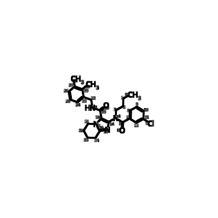 CCCCN(C(=O)c1cccc(Cl)c1)c1nc2n(c1C(=O)NCc1cccc(C)c1C)CCCC2